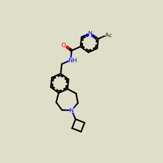 CC(=O)c1ccc(C(=O)NCc2ccc3c(c2)CCN(C2CCC2)CC3)cn1